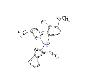 COc1ccc(/C=C(\c2nc(C)cs2)c2nc3ccccc3n2C)cc1O